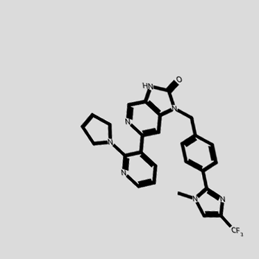 Cn1cc(C(F)(F)F)nc1-c1ccc(Cn2c(=O)[nH]c3cnc(-c4cccnc4N4CCCC4)cc32)cc1